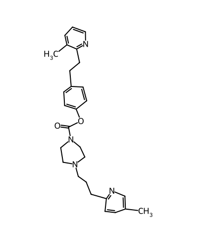 Cc1ccc(CCCN2CCN(C(=O)Oc3ccc(CCc4ncccc4C)cc3)CC2)nc1